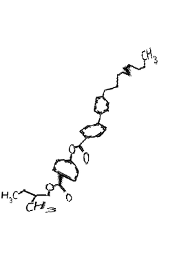 CCCCCCCc1ccc(-c2ccc(C(=O)Oc3ccc(C(=O)OCC(C)CC)cc3)cc2)cc1